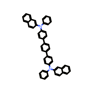 c1ccc(N(c2ccc(-c3ccc(-c4ccc(N(c5ccccc5)c5ccc6ccccc6c5)cc4)cc3)cc2)c2ccc3ccccc3c2)cc1